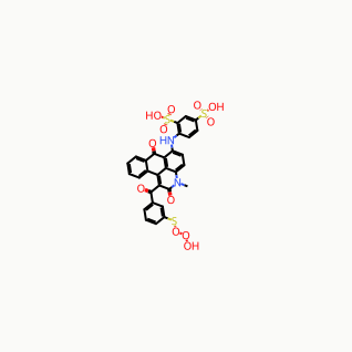 Cn1c(=O)c(C(=O)c2cccc(SOOO)c2)c2c3c(c(Nc4ccc(S(=O)(=O)O)cc4S(=O)(=O)O)ccc31)C(=O)c1ccccc1-2